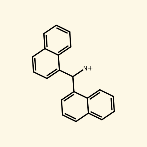 [NH]C(c1cccc2ccccc12)c1cccc2ccccc12